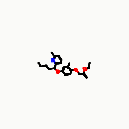 C=C(COc1ccc(OC(CCCC)c2cccc(C)n2)cc1C)OCC